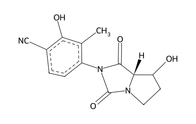 Cc1c(N2C(=O)[C@@H]3C(O)CCN3C2=O)ccc(C#N)c1O